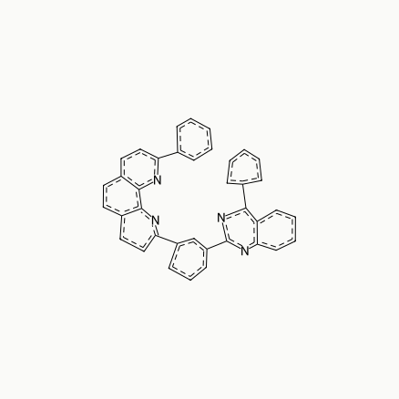 c1ccc(-c2ccc3ccc4ccc(-c5cccc(-c6nc(-c7ccccc7)c7ccccc7n6)c5)nc4c3n2)cc1